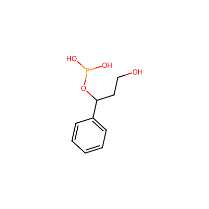 OCCC(OP(O)O)c1ccccc1